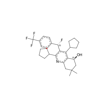 CC1(C)Cc2nc(C3CCCC3)c([C@@H](F)c3ccc(C(F)(F)F)cc3)c(C3CCCC3)c2[C@@H](O)C1